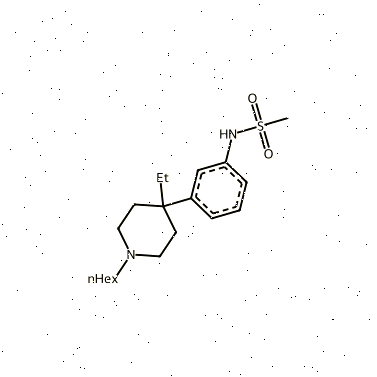 CCCCCCN1CCC(CC)(c2cccc(NS(C)(=O)=O)c2)CC1